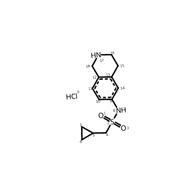 Cl.O=S(=O)(CC1CC1)Nc1ccc2c(c1)CCNC2